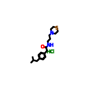 CC(C)Cc1ccc([C@@H](C)C(=O)NCCCN2CCSCC2)cc1.Cl